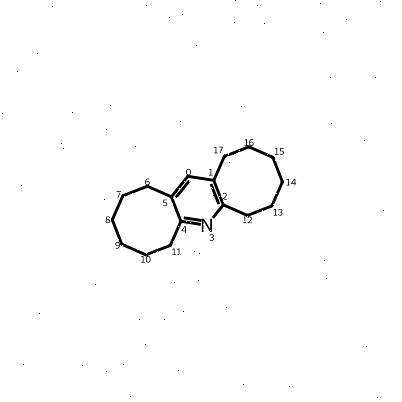 c1c2c(nc3c1CCCCCC3)CCCCCC2